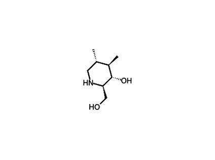 C[C@H]1[C@H](O)[C@@H](CO)NC[C@@H]1C